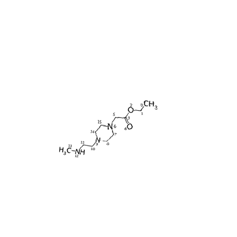 CCOC(=O)CN1CCN(CCNC)CC1